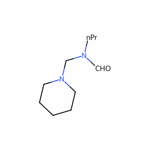 CCCN(C=O)CN1CCCCC1